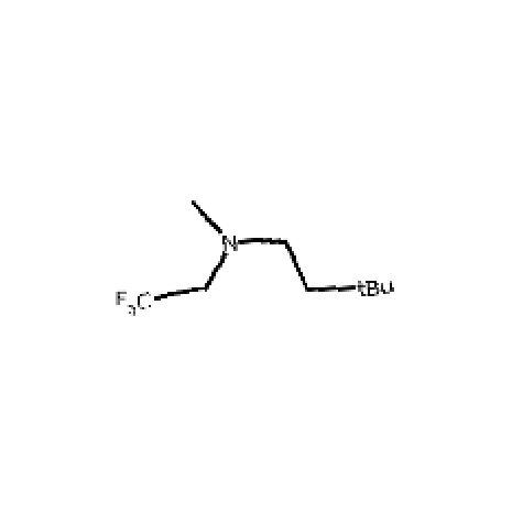 CN(CCC(C)(C)C)CC(F)(F)F